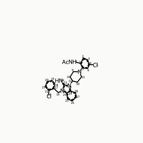 CC(=O)Nc1ccc(Cl)cc1N1CCC(n2c(=N)n(Cc3ccccc3Cl)c3ccccc32)CC1